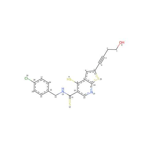 OCCC#Cc1cc2c(S)c(C(=S)NCc3ccc(Cl)cc3)cnc2s1